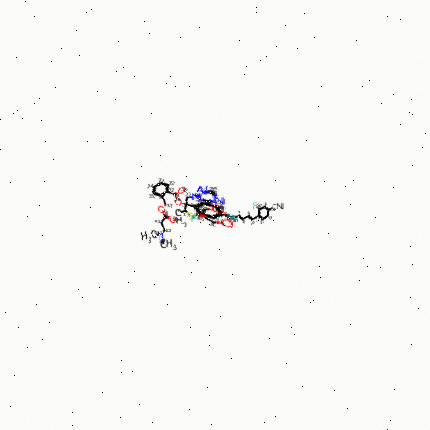 CC(SC1COC(C=CC=Cc2ccc(C#N)cc2F)OC1)C(Cn1cncn1)(OC(=O)c1ccccc1COC(=O)CCN(C)C)c1ccc(F)cc1F